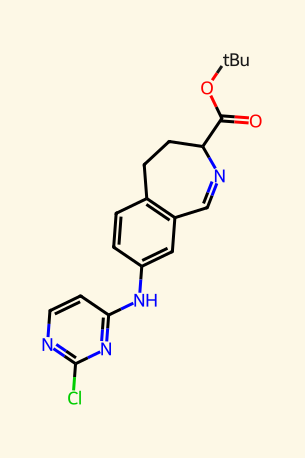 CC(C)(C)OC(=O)C1CCc2ccc(Nc3ccnc(Cl)n3)cc2C=N1